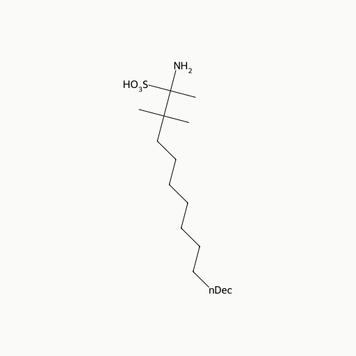 CCCCCCCCCCCCCCCCCC(C)(C)C(C)(N)S(=O)(=O)O